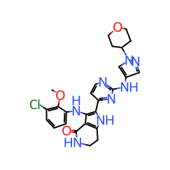 COc1c(Cl)cccc1Nc1c(-c2ccnc(Nc3cnn(C4CCOCC4)c3)n2)[nH]c2c1C(=O)NCC2